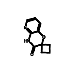 O=C1Nc2ncccc2OC12[CH]CC2